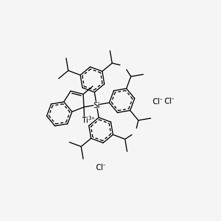 CC1=Cc2ccccc2[C]1([Ti+3])[Si](c1cc(C(C)C)cc(C(C)C)c1)(c1cc(C(C)C)cc(C(C)C)c1)c1cc(C(C)C)cc(C(C)C)c1.[Cl-].[Cl-].[Cl-]